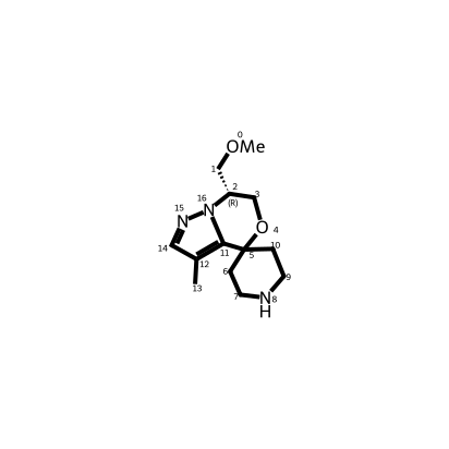 COC[C@@H]1COC2(CCNCC2)c2c(C)cnn21